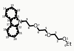 CCOCCOCCOCCn1c2ccccc2c2ccccc21